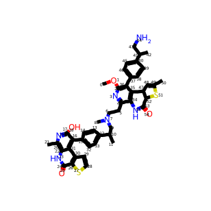 COc1nc(CCN(C)CC(C)c2ccc(-c3c(O)nc(C)c4[nH]c(=O)c5sccc5c34)cc2)c2c(c1-c1ccc(C(C)CN)cc1)C1C=C(C)SC1C(=O)N2